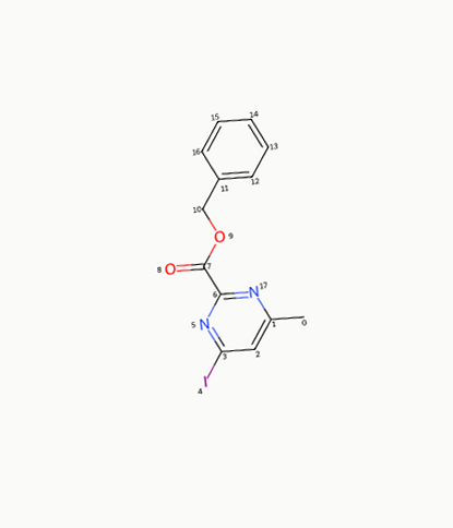 Cc1cc(I)nc(C(=O)OCc2ccccc2)n1